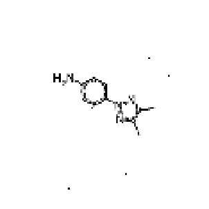 Cc1nn(-c2ccc(N)cc2)nc1C